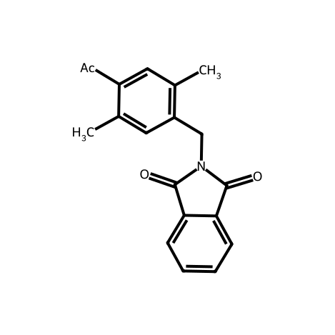 CC(=O)c1cc(C)c(CN2C(=O)c3ccccc3C2=O)cc1C